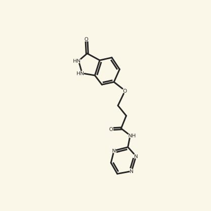 O=C(CCOc1ccc2c(=O)[nH][nH]c2c1)Nc1nccnn1